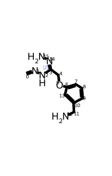 C=NN/C(COc1cccc(CN)c1)=N\N